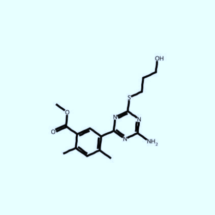 COC(=O)c1cc(-c2nc(N)nc(SCCCO)n2)c(C)cc1C